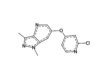 Cc1nn(C)c2cc(Oc3ccnc(Cl)c3)cnc12